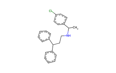 CC(NCCC(c1ccccc1)c1ccccc1)c1ccc(Cl)cc1